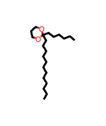 CCCCCCCCCCCCC1(CCCCCC)OCCCO1